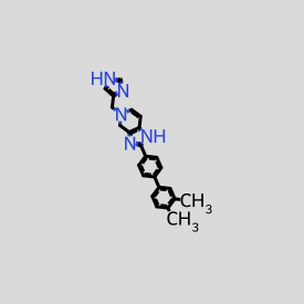 Cc1ccc(-c2ccc(-c3nc4c([nH]3)C=CN(Cc3c[nH]cn3)C4)cc2)cc1C